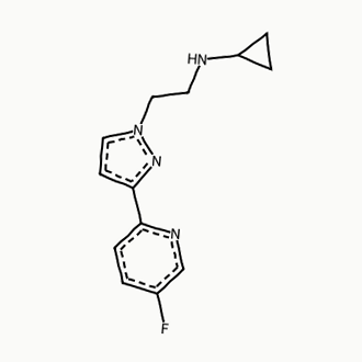 Fc1ccc(-c2ccn(CCNC3CC3)n2)nc1